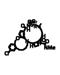 CNC(=O)C[C@]1(O)CCC[C@H](C)[C@@H](C)S(=O)(=O)NC(=O)c2ccc3c(c2)N(CCCCc2cc(Cl)ccc2CO3)C[C@@H]2CC[C@H]21